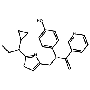 CCN(c1nc(CN(C(=O)c2cccnc2)c2ccc(O)cc2)cs1)C1CC1